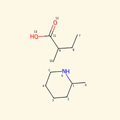 CC1CCCCN1.CCC(C)C(=O)O